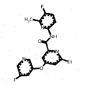 CCc1cc(Oc2cncc(F)c2)cc(C(=O)Nc2ccc(F)c(C)n2)n1